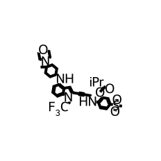 CC(C)C(=O)Oc1cc(S(C)(=O)=O)ccc1NCC#Cc1cc2c(NC3CCC(C)(N4CCOCC4)CC3)cccc2n1CC(F)(F)F